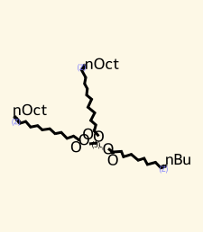 CCCC/C=C\CCCCCCCC(=O)OC[C@H](COC(=O)CCCCCCCCC/C=C\CCCCCCCC)OC(=O)CCCCCCCCC/C=C\CCCCCCCC